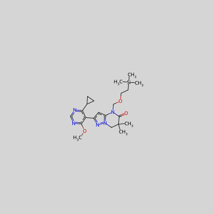 COc1ncnc(C2CC2)c1-c1cc2n(n1)CC(C)(C)C(=O)N2COCC[Si](C)(C)C